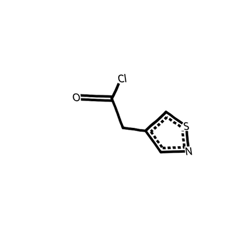 O=C(Cl)Cc1cnsc1